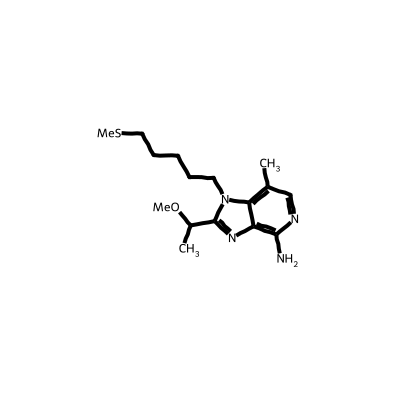 COC(C)c1nc2c(N)ncc(C)c2n1CCCCCSC